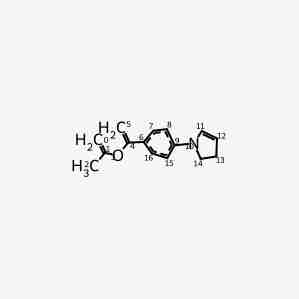 C=C(C)OC(=C)c1ccc(N2C=CCC2)cc1